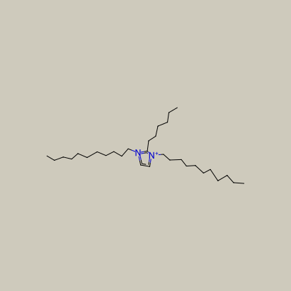 CCCCCCCCCCCn1cc[n+](CCCCCCCCCCC)c1CCCCCC